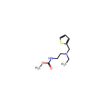 CCN(CCNC(=O)OC)Cc1cccs1